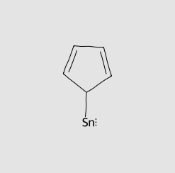 [Sn][CH]1C=CC=C1